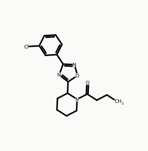 CCCC(=O)N1CCCCC1c1nc(-c2cccc(Cl)c2)no1